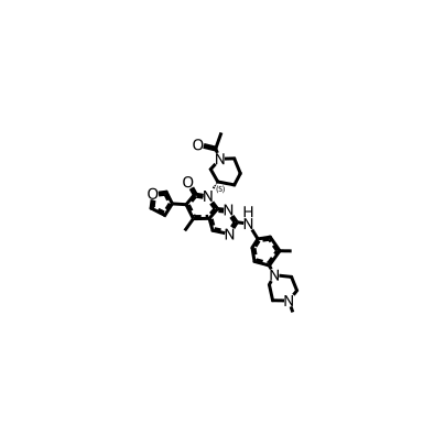 CC(=O)N1CCC[C@H](n2c(=O)c(-c3ccoc3)c(C)c3cnc(Nc4ccc(N5CCN(C)CC5)c(C)c4)nc32)C1